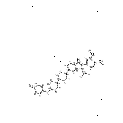 COc1ccc(-c2[nH]c3ccc(N4CCC(N5CCN(Cc6ccc(C)cc6)CC5)CC4)cc3c2C(C)C)cc1OC